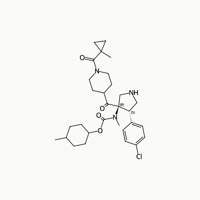 CC1CCC(OC(=O)N(C)[C@@]2(C(=O)C3CCN(C(=O)C4(C)CC4)CC3)CNC[C@@H]2c2ccc(Cl)cc2)CC1